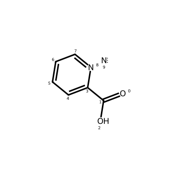 O=C(O)c1ccccn1.[N]